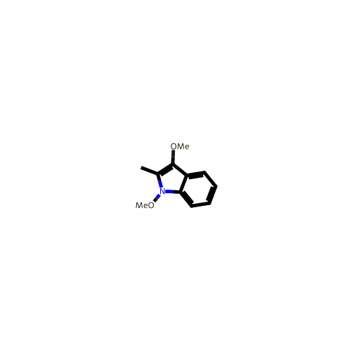 COc1c(C)n(OC)c2ccccc12